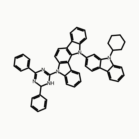 c1ccc(C2=NC(c3ccccc3)NC(n3c4ccccc4c4c3ccc3c5ccccc5n(-c5ccc6c7ccccc7n(C7CCCCC7)c6c5)c34)=N2)cc1